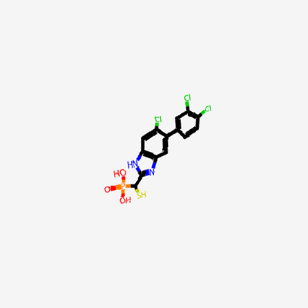 O=P(O)(O)C(S)c1nc2cc(-c3ccc(Cl)c(Cl)c3)c(Cl)cc2[nH]1